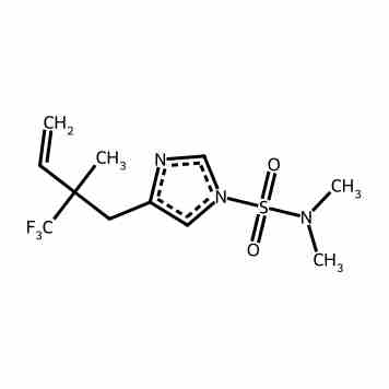 C=CC(C)(Cc1cn(S(=O)(=O)N(C)C)cn1)C(F)(F)F